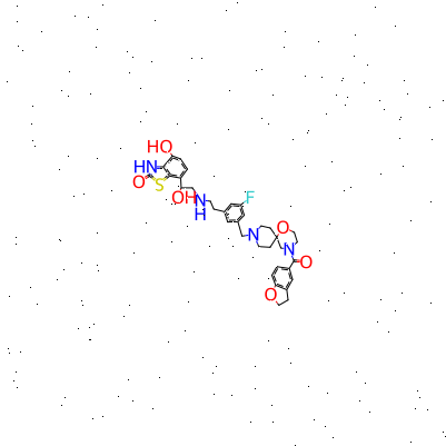 O=C(c1ccc2c(c1)CCO2)N1CCOC2(CCN(Cc3cc(F)cc(CCNCC(O)c4ccc(O)c5[nH]c(=O)sc45)c3)CC2)C1